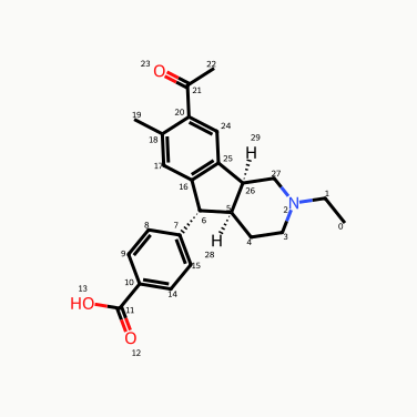 CCN1CC[C@H]2[C@H](c3ccc(C(=O)O)cc3)c3cc(C)c(C(C)=O)cc3[C@H]2C1